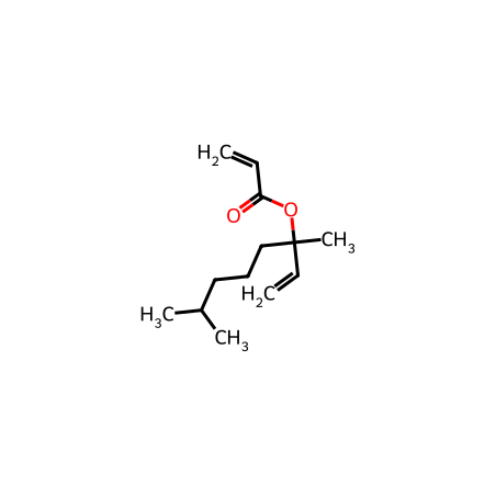 C=CC(=O)OC(C)(C=C)CCCC(C)C